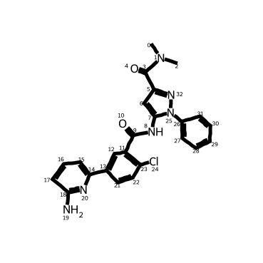 CN(C)C(=O)c1cc(NC(=O)c2cc(-c3cccc(N)n3)ccc2Cl)n(-c2ccccc2)n1